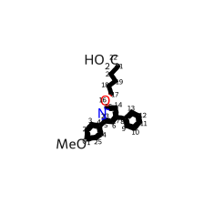 COc1ccc(-c2cc(-c3ccccc3)cc(OCCCCCC(=O)O)n2)cc1